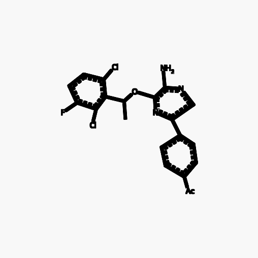 CC(=O)c1ccc(-c2cnc(N)c(OC(C)c3c(Cl)ccc(F)c3Cl)n2)cc1